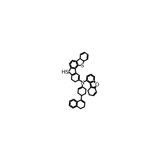 C[SiH]1C2=C(C=C(N(C3=CCC(C4=CCCc5ccccc54)CC3)c3cccc4oc5c(c34)CCC=C5)CC2)c2c1ccc1c2SC2C=CC=CC12